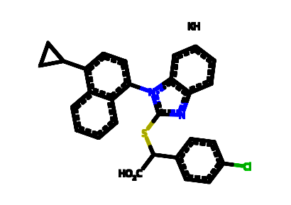 O=C(O)C(Sc1nc2ccccc2n1-c1ccc(C2CC2)c2ccccc12)c1ccc(Cl)cc1.[KH]